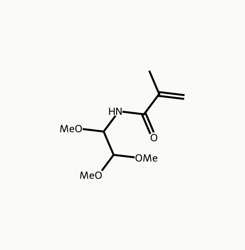 C=C(C)C(=O)NC(OC)C(OC)OC